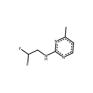 Cc1ccnc(NCC(F)F)n1